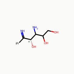 CC(C)C(=N)[C@@H](O)C(N)C(O)CO